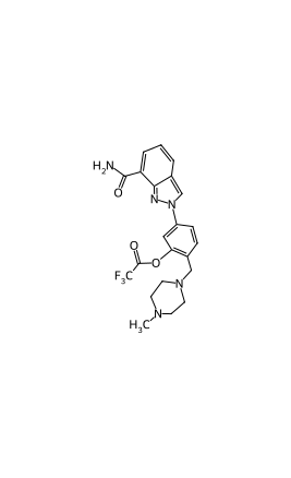 CN1CCN(Cc2ccc(-n3cc4cccc(C(N)=O)c4n3)cc2OC(=O)C(F)(F)F)CC1